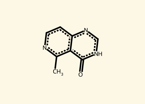 Cc1nccc2nc[nH]c(=O)c12